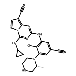 C[C@@H]1CNCCN1c1cc(C#N)cc(Nc2nc(NC3CC3)n3ncc(C#N)c3n2)c1Cl